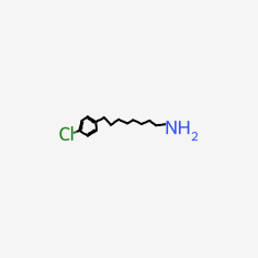 NCCCCCCCCCc1ccc(Cl)cc1